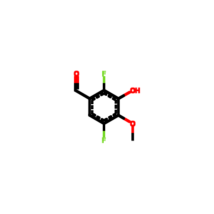 COc1c(F)cc(C=O)c(F)c1O